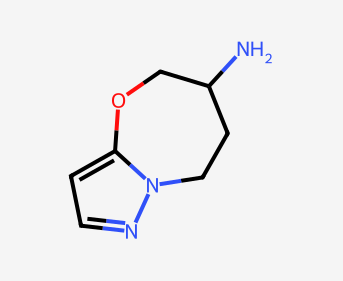 NC1CCn2nccc2OC1